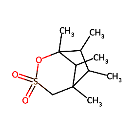 CC1C(C)C2(C)OS(=O)(=O)CC1(C)C2C